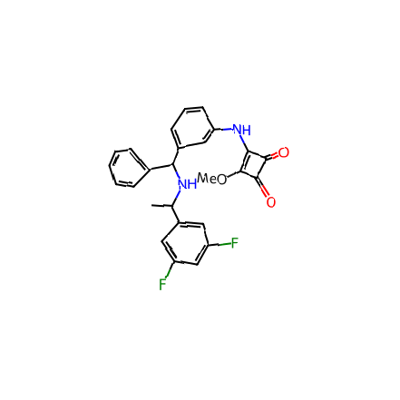 COc1c(Nc2cccc(C(NC(C)c3cc(F)cc(F)c3)c3ccccc3)c2)c(=O)c1=O